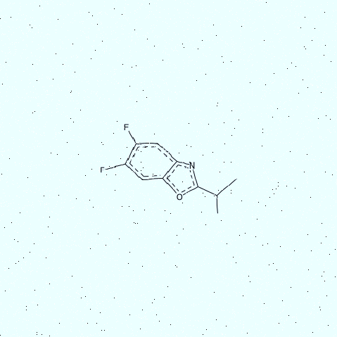 CC(C)c1nc2cc(F)c(F)cc2o1